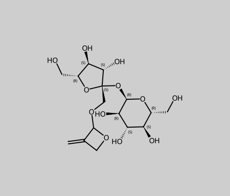 C=C1COC1OC[C@@]1(O[C@H]2O[C@H](CO)[C@@H](O)[C@H](O)[C@H]2O)O[C@H](CO)[C@@H](O)[C@@H]1O